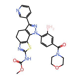 Bc1cc(C(=O)N2CCOCC2)ccc1-n1nc(-c2cccnc2)c2c1-c1sc(NC(=O)OC)nc1CC2